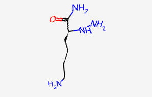 NCCCC[C@H](NN)C(N)=O